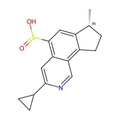 C[C@@H]1CCc2c1cc(S(=O)O)c1cc(C3CC3)ncc21